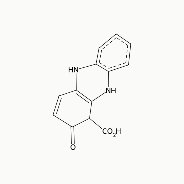 O=C(O)C1C(=O)C=CC2=C1Nc1ccccc1N2